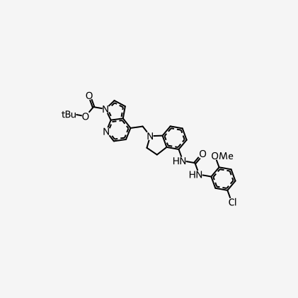 COc1ccc(Cl)cc1NC(=O)Nc1cccc2c1CCN2Cc1ccnc2c1ccn2C(=O)OC(C)(C)C